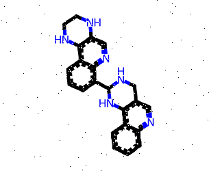 c1ccc2c3c(cnc2c1)CNC(c1cccc2c4c(cnc12)NCCN4)N3